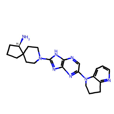 N[C@@H]1CCCC12CCN(c1nc3nc(N4CCCc5ncccc54)cnc3[nH]1)CC2